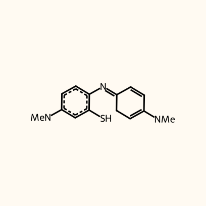 CNC1=CC/C(=N\c2ccc(NC)cc2S)C=C1